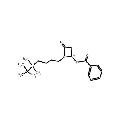 CC(C)(C)[Si](C)(C)OCCCN1C(=O)C[C@H]1SC(=O)c1ccccc1